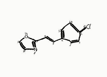 Clc1ccc(C=Cc2ncco2)cc1